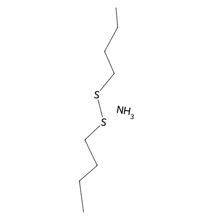 CCCCSSCCCC.N